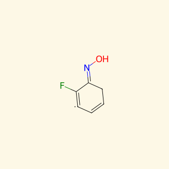 ON=C1CC=C[C]=C1F